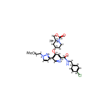 COCCn1ccc(-c2cnc(C(=O)NCc3ccc(Cl)cc3)cc2O[C@H]2CCN3C(=O)OC[C@@H]3C2)n1